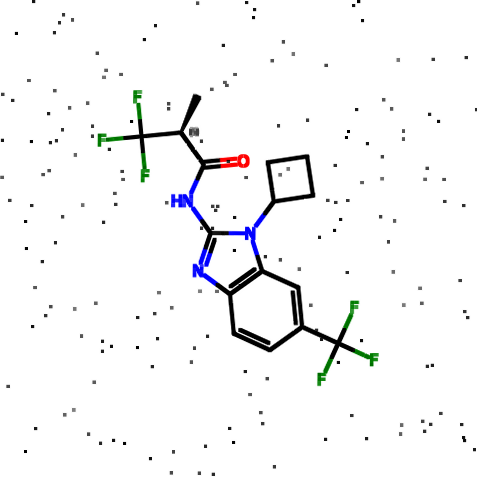 C[C@@H](C(=O)Nc1nc2ccc(C(F)(F)F)cc2n1C1CCC1)C(F)(F)F